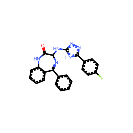 O=C1Nc2ccccc2C(c2ccccc2)=NC1Nc1nnc(-c2ccc(F)cc2)[nH]1